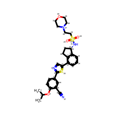 CC(C)Oc1ccc(-c2ncc(-c3cccc4c3CC[C@@H]4NS(=O)(=O)CCN3CCOCC3)s2)cc1C#N